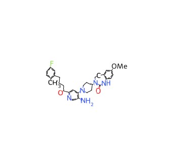 COc1ccc2c(c1)CCN(C1CCN(c3cc(C(=O)CCCc4cc(F)ccc4C)ncc3N)CC1)C(=O)N2